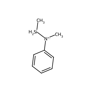 C[SiH2][N+](C)c1ccccc1